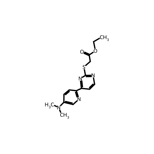 CCOC(=O)CSc1nccc(-c2ccc(N(C)C)cn2)n1